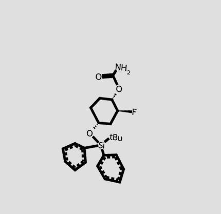 CC(C)(C)[Si](O[C@@H]1CC[C@H](OC(N)=O)[C@@H](F)C1)(c1ccccc1)c1ccccc1